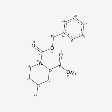 COC(=O)C1CC(C)CCN1C(=O)OCc1ccccc1